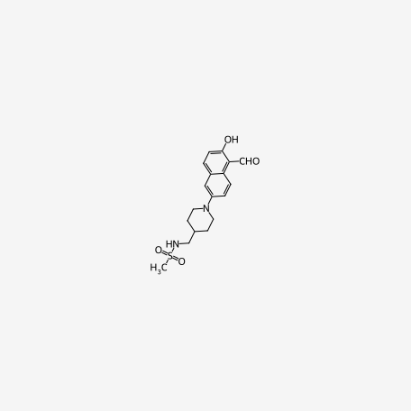 CS(=O)(=O)NCC1CCN(c2ccc3c(C=O)c(O)ccc3c2)CC1